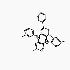 Cc1cccc(N2c3cc(C)ccc3B3c4ccc(C)cc4-c4cc(-c5ccccc5)cc2c43)c1